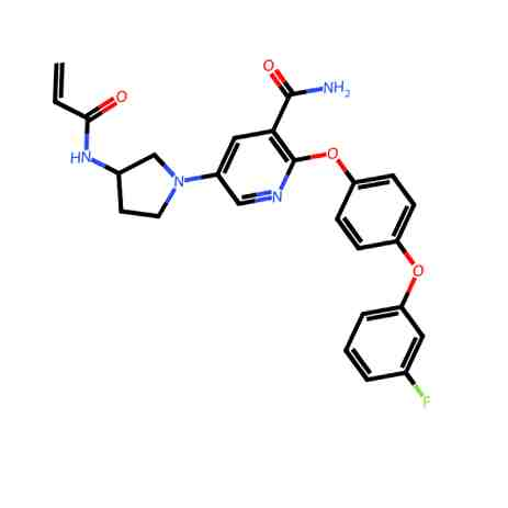 C=CC(=O)NC1CCN(c2cnc(Oc3ccc(Oc4cccc(F)c4)cc3)c(C(N)=O)c2)C1